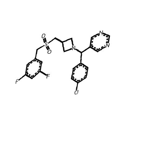 O=S(=O)(Cc1cc(F)cc(F)c1)CC1CN(C(c2ccc(Cl)cc2)c2cncnc2)C1